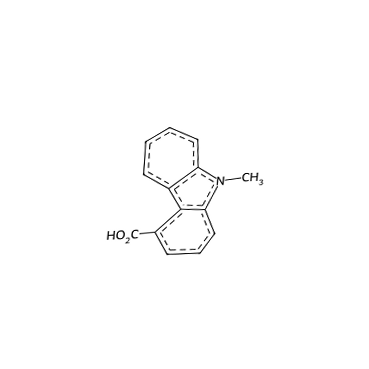 Cn1c2ccccc2c2c(C(=O)O)cccc21